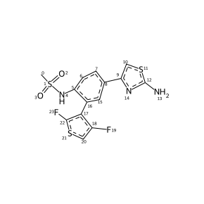 CS(=O)(=O)Nc1ccc(-c2csc(N)n2)cc1-c1c(F)csc1F